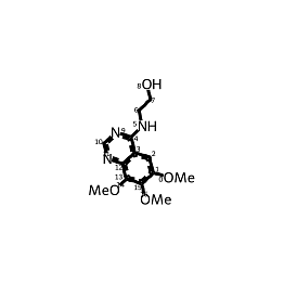 COc1cc2c(NCCO)ncnc2c(OC)c1OC